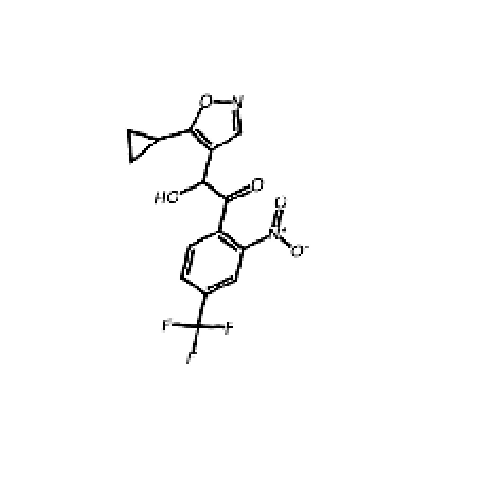 O=C(c1ccc(C(F)(F)F)cc1[N+](=O)[O-])C(O)c1cnoc1C1CC1